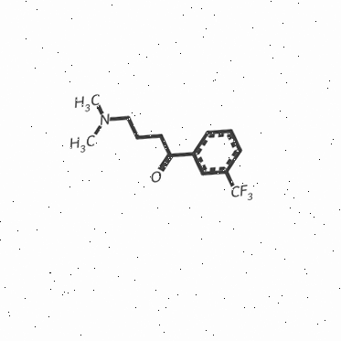 CN(C)CCCC(=O)c1cccc(C(F)(F)F)c1